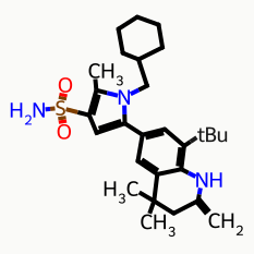 C=C1CC(C)(C)c2cc(-c3cc(S(N)(=O)=O)c(C)n3CC3CCCCC3)cc(C(C)(C)C)c2N1